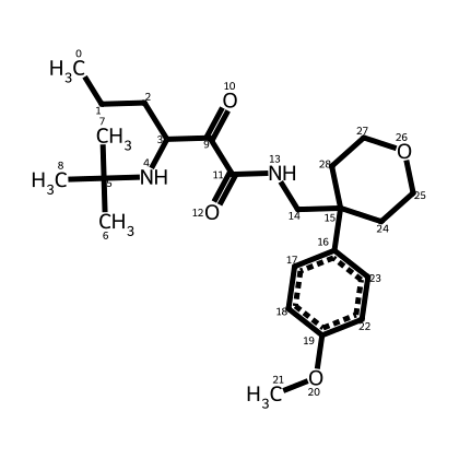 CCCC(NC(C)(C)C)C(=O)C(=O)NCC1(c2ccc(OC)cc2)CCOCC1